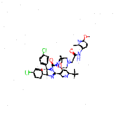 CCOc1cc(C(C)(C)C)ncc1C1=N[C@@](C)(C2C=CC(Cl)=CC2)[C@@](C)(c2ccc(Cl)cc2)N1C(=O)N1CCN(CC(=O)Nc2ccc(OC)nc2C)CC1